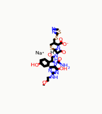 COCCNc1ncc(N(C(N)=O)C(C(=O)NC2C(=O)N3C(C(=O)[O-])=C(CSc4nncs4)CS[C@@H]23)c2ccc(O)cc2)c(O)n1.[Na+]